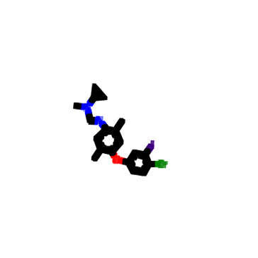 Cc1cc(Oc2ccc(Br)c(I)c2)c(C)cc1/N=C/N(C)C1CC1